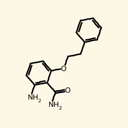 NC(=O)c1c(N)cccc1OCCc1ccccc1